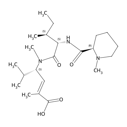 CC[C@H](C)[C@H](NC(=O)[C@H]1CCCCN1C)C(=O)N(C)[C@H](C=C(C)C(=O)O)C(C)C